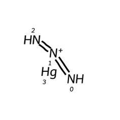 N=[N+]=N.[Hg]